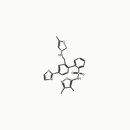 CC1=CN(NCc2cc(-c3ncco3)ccc2-c2ccccc2S(=O)(=O)Nc2onc(C)c2C)CO1